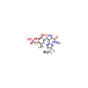 CCNC(=O)c1noc(-c2cc(C(C)C)c(OP(=O)(O)O)cc2O)c1-c1noc(C)n1.[MgH2]